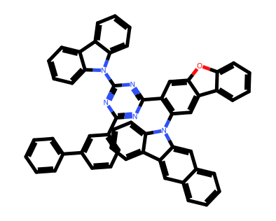 c1ccc(-c2cccc(-c3nc(-c4cc5oc6ccccc6c5cc4-n4c5ccccc5c5cc6ccccc6cc54)nc(-n4c5ccccc5c5ccccc54)n3)c2)cc1